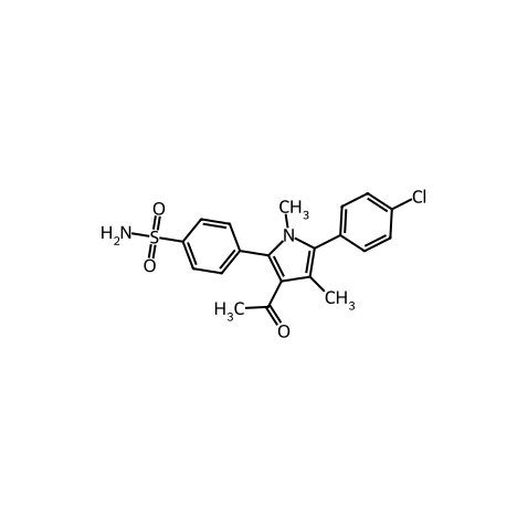 CC(=O)c1c(C)c(-c2ccc(Cl)cc2)n(C)c1-c1ccc(S(N)(=O)=O)cc1